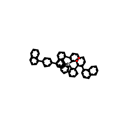 c1ccc(-c2cccc3ccccc23)c(-c2ccccc2N(c2ccc(-c3ccc(-c4cccc5ccccc45)cc3)cc2)c2ccccc2-c2cccc3sc4ccccc4c23)c1